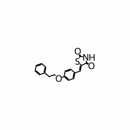 O=C1NC(=O)/C(=C/c2ccc(OCCc3ccccc3)cc2)S1